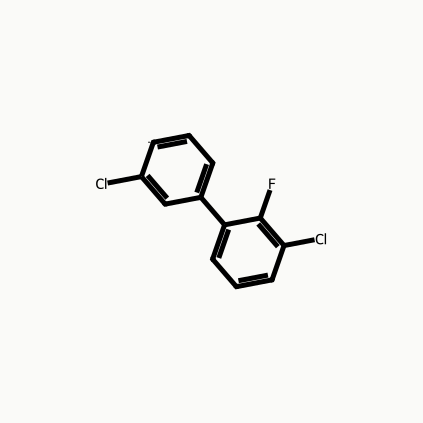 Fc1c(Cl)cccc1-c1cc[c]c(Cl)c1